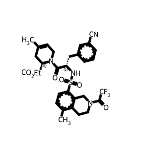 CCOC(=O)[C@H]1CC(C)=CCN1C(=O)[C@H](Cc1cccc(C#N)c1)NS(=O)(=O)c1ccc(C)c2c1CN(C(=O)C(F)(F)F)CC2